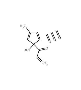 C=CC(=O)[C]1([Mn])C=CC(C)=C1.[C]=O.[C]=O.[C]=O